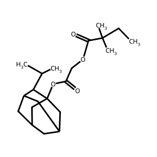 CCC(C)(C)C(=O)OCC(=O)OC12CC3CC(CC(C3)C1C(C)C)C2